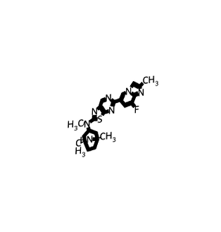 Cc1cn2cc(-c3ncc4nc(N(C)C5C[C@]6(C)CC[C@](C)(C5)N6)sc4n3)cc(F)c2n1